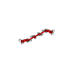 O=C(NCCCCCCCCNS(=O)(=O)c1ccc(O[C@@H]2CCc3c(Cl)cc(Cl)cc32)cc1)NCCCCNC(=O)NCCCCCCCCNS(=O)(=O)c1ccc(O[C@@H]2CCc3c(Cl)cc(Cl)cc32)cc1